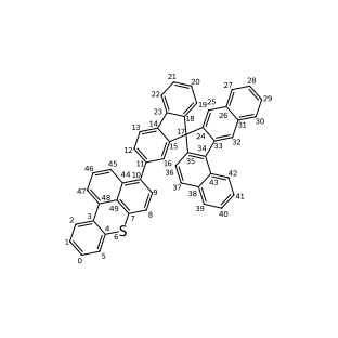 c1ccc2c(c1)Sc1ccc(-c3ccc4c(c3)C3(c5ccccc5-4)c4cc5ccccc5cc4-c4c3ccc3ccccc43)c3cccc-2c13